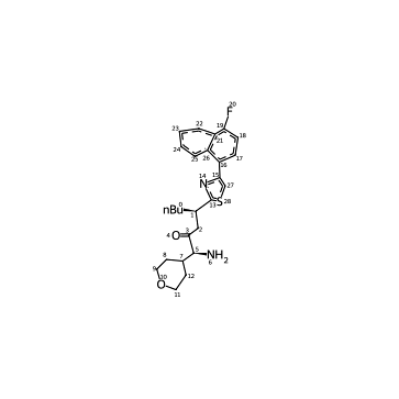 CCCC[C@H](CC(=O)[C@@H](N)C1CCOCC1)c1nc(-c2ccc(F)c3ccccc23)cs1